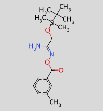 Cc1cccc(C(=O)O/N=C(\N)CO[Si](C)(C)C(C)(C)C)c1